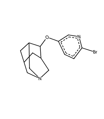 Brc1ccc(OC2C3CC4CC2CN(C4)C3)cn1